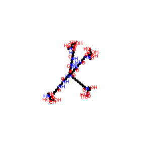 CC(=O)NC1C(OCCCCC(=O)CNCCCNC(=O)CCCCC(CCCCC(=O)NCCCNC(=O)CCCCOC2OC(CO)C(O)C(O)C2NC(C)=O)(COCCC(=O)NCCCNC(=O)CCCCOC2OC(CO)C(O)C(O)C2NC(C)=O)NC(=O)CCCCCCCCCCC(=O)N2C[C@H](O)C[C@H]2COP(=O)(O)O)OC(CO)C(O)C1O